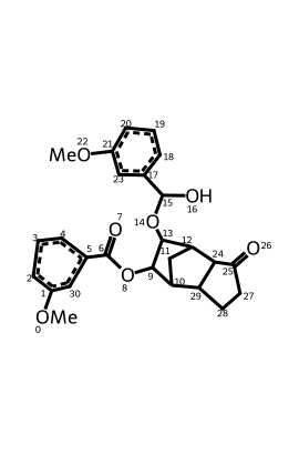 COc1cccc(C(=O)OC2C3CC(C2OC(O)c2cccc(OC)c2)C2C(=O)CCC32)c1